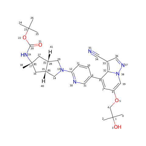 CC(C)(O)COc1cc(-c2ccc(N3C[C@@H]4C[C@](C)(NC(=O)OC(C)(C)C)C[C@@H]4C3)nc2)c2c(C#N)cnn2c1